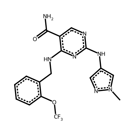 Cn1cc(Nc2ncc(C(N)=O)c(NCc3ccccc3OC(F)(F)F)n2)cn1